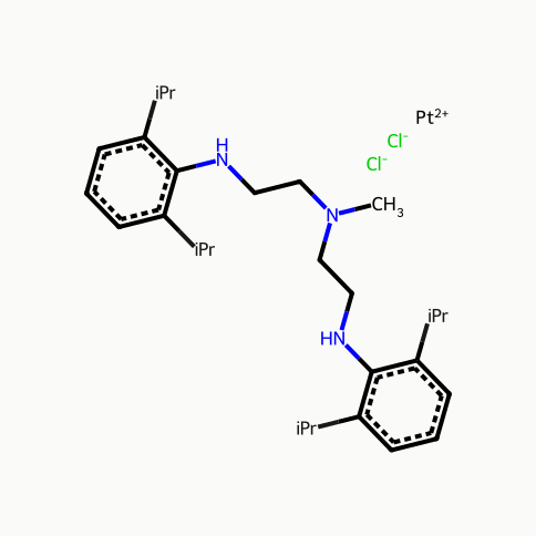 CC(C)c1cccc(C(C)C)c1NCCN(C)CCNc1c(C(C)C)cccc1C(C)C.[Cl-].[Cl-].[Pt+2]